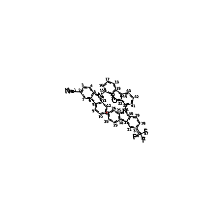 N#Cc1ccc2c(c1)c1ccccc1n2-c1cccc2c1oc1c(-n3c4ccccc4c4cc(C(F)(F)F)ccc43)cccc12